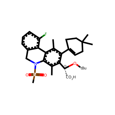 Cc1c(C2=CCC(C)(C)CC2)c([C@H](OC(C)(C)C)C(=O)O)c(C)c2c1-c1c(F)cccc1CN2S(C)(=O)=O